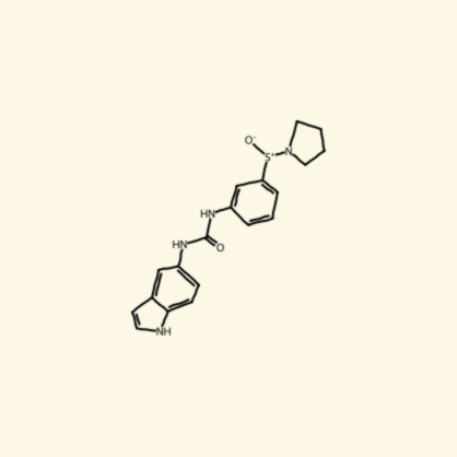 O=C(Nc1cccc([S+]([O-])N2CCCC2)c1)Nc1ccc2[nH]ccc2c1